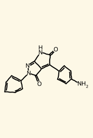 Nc1ccc(C2=C3C(=O)N(c4ccccc4)N=C3NC2=O)cc1